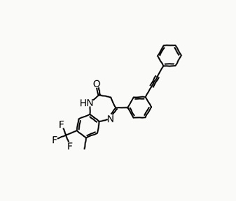 Cc1cc2c(cc1C(F)(F)F)NC(=O)CC(c1cccc(C#Cc3ccccc3)c1)=N2